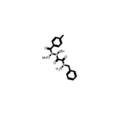 CON(C(=O)c1ccc(C)cc1)N(C(=O)C(=O)N(N)Cc1ccccc1)C(C)(C)C